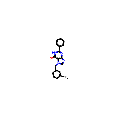 O=c1[nH]c(-c2ccccc2)nc2ncn(Cc3cccc(C(F)(F)F)c3)c12